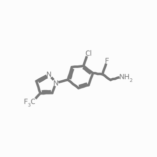 NCC(F)c1ccc(-n2cc(C(F)(F)F)cn2)cc1Cl